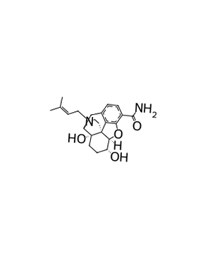 CC(C)=CCN1CC[C@]23c4c5ccc(C(N)=O)c4O[C@H]2[C@H](O)CC[C@@]3(O)C1C5